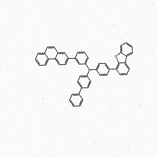 c1ccc(-c2ccc(N(c3ccc(-c4cccc5c4oc4ccccc45)cc3)c3cccc(-c4ccc5c(ccc6ccccc65)c4)c3)cc2)cc1